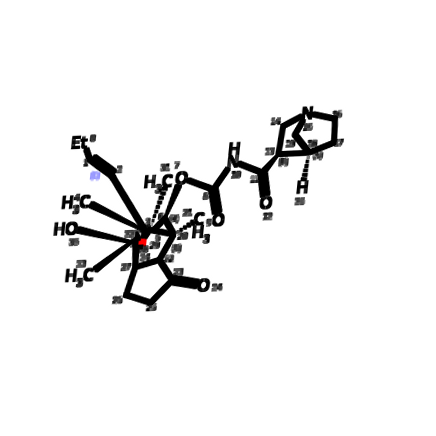 CC/C=C/[C@]1(C)C[C@@H](OC(=O)NC(=O)[C@H]2CN3CC[C@@H]2C3)[C@@]2(C)C3C(=O)CCC3(CC[C@H]2C)[C@@H](C)[C@@H]1O